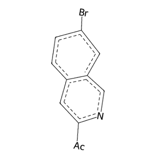 CC(=O)c1cc2ccc(Br)cc2cn1